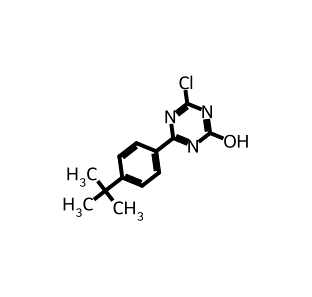 CC(C)(C)c1ccc(-c2nc(O)nc(Cl)n2)cc1